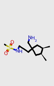 C[C@@H]1CC(CN)(CCNS(C)(=O)=O)C[C@@H]1C